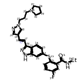 CCNC(=O)c1cc(F)ccc1Sc1ccc2c(/C=C/c3cnn(CCCN4CCCC4)c3)n[nH]c2c1